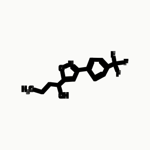 CCCC(O)c1cc(-c2ccc(C(F)(F)F)cc2)no1